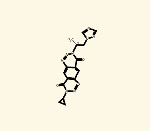 C[C@H](Cn1cncn1)n1nnc2cc3c(=O)n(C4CC4)nnc3cc2c1=O